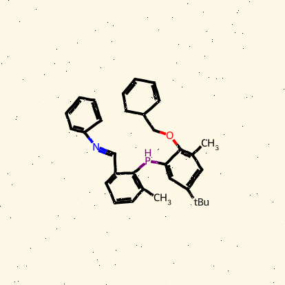 Cc1cc(C(C)(C)C)cc(Pc2c(C)cccc2/C=N/c2ccccc2)c1OCC1C=CC=CC1